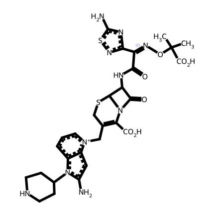 CC(C)(O/N=C(\C(=O)NC1C(=O)N2C(C(=O)O)=C(C[n+]3cccc4c3cc(N)n4C3CCNCC3)CSC12)c1nsc(N)n1)C(=O)O